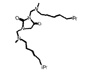 CC(C)CCCCCN(C)CN1CC(=O)N(CN(C)CCCCCC(C)C)C1=O